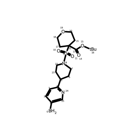 Bc1ccc(C2CCN(S(=O)(=O)C3(C(=O)OC(C)(C)C)CCOCC3)CC2)nc1